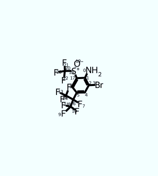 Nc1c(Br)cc(C(F)(C(F)(F)F)C(F)(F)F)cc1[S+]([O-])C(F)(F)F